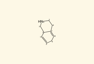 C1=CC2CNCCC2=CC1